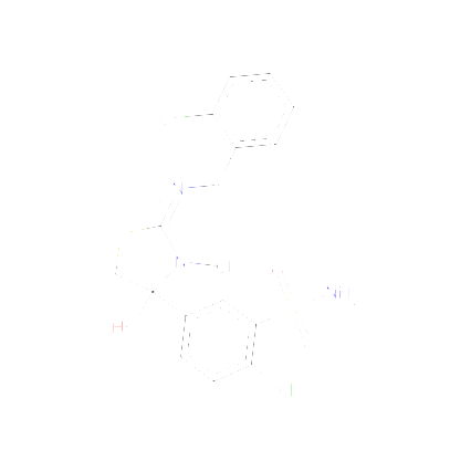 CN1/C(=N\Cc2ccccc2Cl)SCC1(O)c1ccc(Cl)c(S(N)(=O)=O)c1